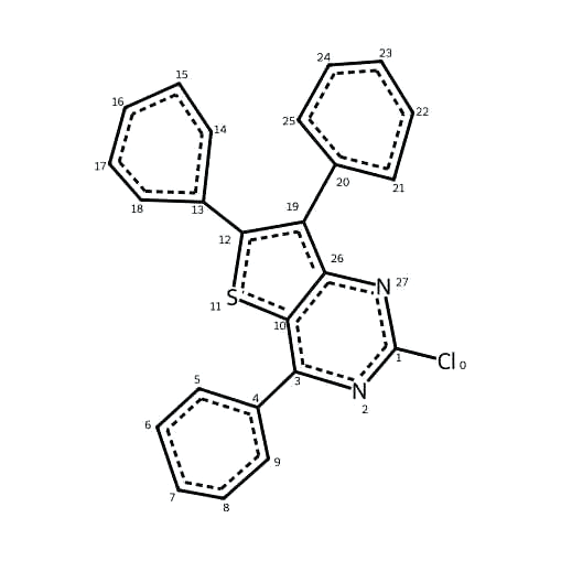 Clc1nc(-c2ccccc2)c2sc(-c3ccccc3)c(-c3ccccc3)c2n1